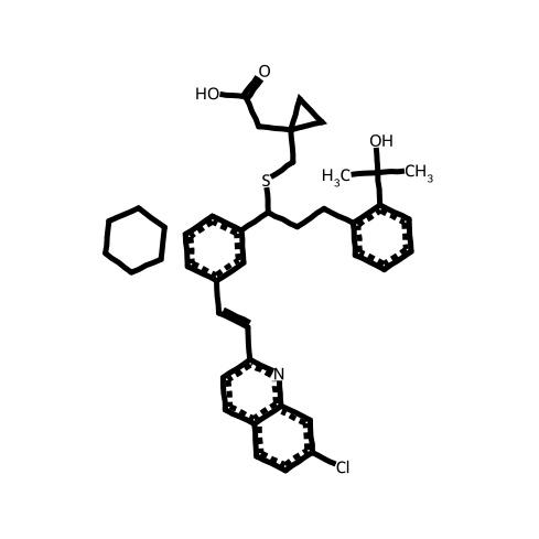 C1CCCCC1.CC(C)(O)c1ccccc1CCC(SCC1(CC(=O)O)CC1)c1cccc(/C=C/c2ccc3ccc(Cl)cc3n2)c1